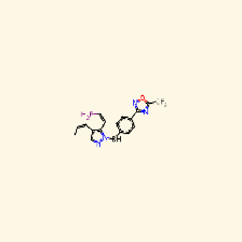 C/C=C\c1cnn(Bc2ccc(-c3noc(C(F)(F)F)n3)cc2)c1/C=C\P